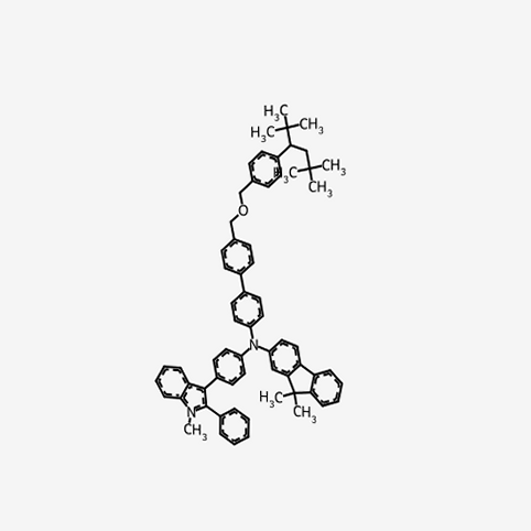 Cn1c(-c2ccccc2)c(-c2ccc(N(c3ccc(-c4ccc(COCc5ccc(C(CC(C)(C)C)C(C)(C)C)cc5)cc4)cc3)c3ccc4c(c3)C(C)(C)c3ccccc3-4)cc2)c2ccccc21